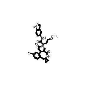 COCCC(C(=O)Nc1ccc2[nH]ncc2c1)n1cc2c(cc1=O)-c1cc(Cl)ccc1CC1(CC1)NC2=O